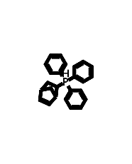 C1=CC2CC1CC2[PH](c1ccccc1)(c1ccccc1)c1ccccc1